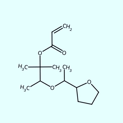 C=CC(=O)OC(C)(C)C(C)OC(C)C1CCCO1